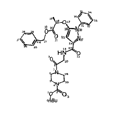 CCCCOC(=O)N1CCN(C(=O)CNC(=O)c2cc(O[C@H](C)C(=O)OCc3ccccc3)n(-c3ccccc3)n2)CC1